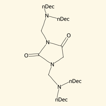 CCCCCCCCCCN(CCCCCCCCCC)CN1CC(=O)N(CN(CCCCCCCCCC)CCCCCCCCCC)C1=O